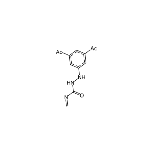 C=NC(=O)NNc1cc(C(C)=O)cc(C(C)=O)c1